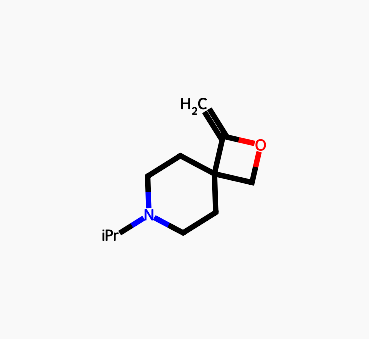 C=C1OCC12CCN(C(C)C)CC2